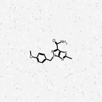 COc1ccc(Cn2nc(C(N)=O)c3sc(C)nc32)cc1